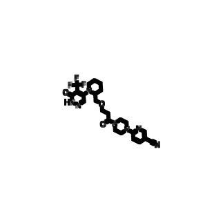 N#Cc1ccc(N2CCN(C(=O)CCOCC3CCCCN3c3cn[nH]c(=O)c3C(F)(F)F)CC2)nc1